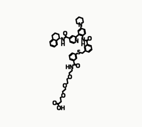 O=C(O)CCOCCOCCOCCNC(=O)c1cccc(SCc2cccc(C(=O)Nc3ccc(N4CCCCC4)cc3-c3cc(C(=O)N[C@H]4CCCc5ccccc54)ccn3)c2)c1